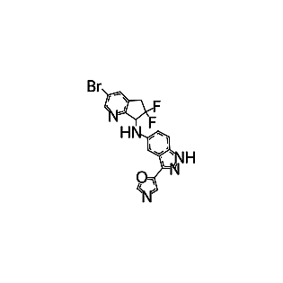 FC1(F)Cc2cc(Br)cnc2C1Nc1ccc2[nH]nc(-c3cnco3)c2c1